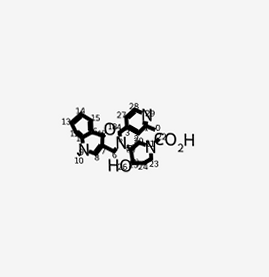 Cc1cc(CN(Cc2cn(C)c3ccccc3c2=O)[C@@H]2CN(C(=O)O)CC[C@H]2O)ccn1